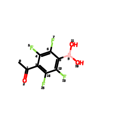 CC(=O)c1c(F)c(F)c(B(O)O)c(F)c1F